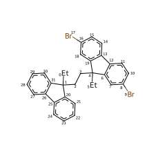 CCC1(CCC2(CC)c3cc(Br)ccc3-c3ccc(Br)cc32)c2ccccc2-c2ccccc21